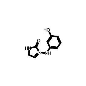 O=C1NCC=S1Nc1cccc(O)c1